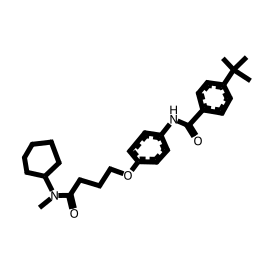 CN(C(=O)CCCOc1ccc(NC(=O)c2ccc(C(C)(C)C)cc2)cc1)C1CCCCC1